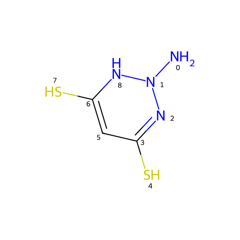 NN1N=C(S)C=C(S)N1